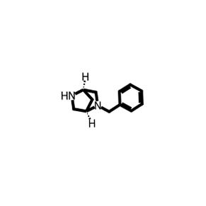 c1ccc(CN2C[C@H]3C[C@@H]2CN3)cc1